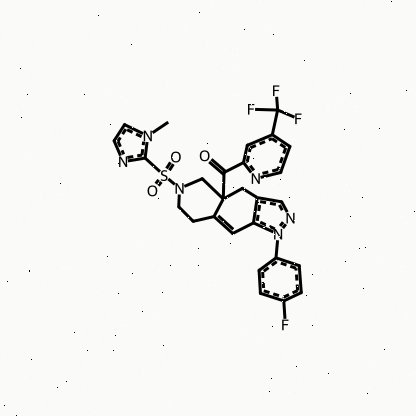 Cn1ccnc1S(=O)(=O)N1CCC2=Cc3c(cnn3-c3ccc(F)cc3)CC2(C(=O)c2cc(C(F)(F)F)ccn2)C1